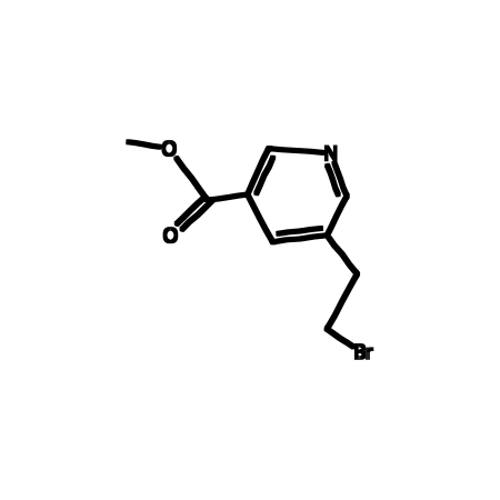 COC(=O)c1cncc(CCBr)c1